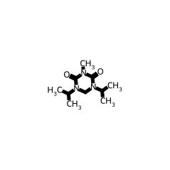 CC(C)N1CN(C(C)C)C(=O)N(C)C1=O